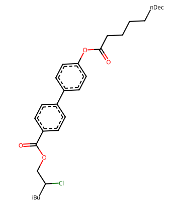 CCCCCCCCCCCCCCC(=O)Oc1ccc(-c2ccc(C(=O)OCC(Cl)C(C)CC)cc2)cc1